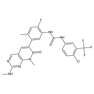 CNc1ncc2cc(-c3cc(NC(=O)Nc4ccc(Cl)c(C(F)(F)F)c4)c(F)cc3C)c(=O)n(C)c2n1